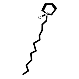 CCCCCCCCCCCC[N+]1([O-])C=CC=CC1